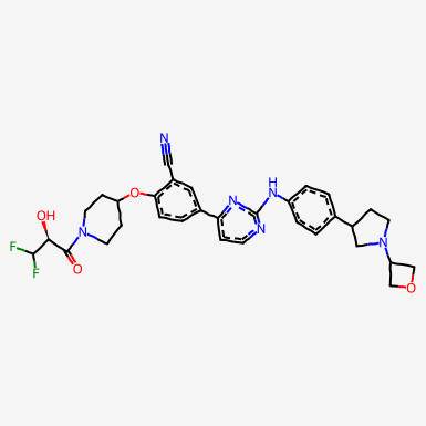 N#Cc1cc(-c2ccnc(Nc3ccc(C4CCN(C5COC5)C4)cc3)n2)ccc1OC1CCN(C(=O)[C@H](O)C(F)F)CC1